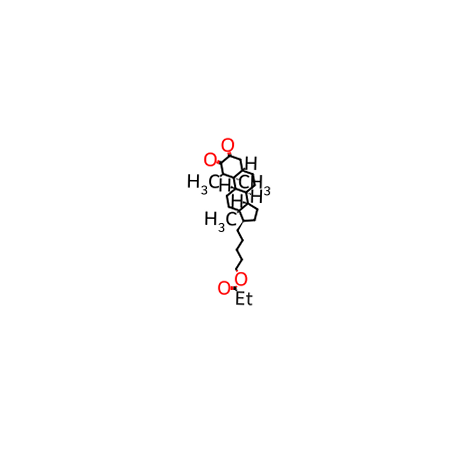 CCC(=O)OCCCCC[C@@H]1CC[C@H]2[C@@H]3CC[C@H]4CC(=O)C(=O)[C@H](C)[C@]4(C)[C@H]3CC[C@]12C